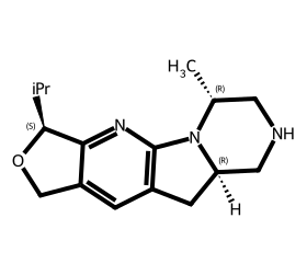 CC(C)[C@@H]1OCc2cc3c(nc21)N1[C@@H](CNC[C@H]1C)C3